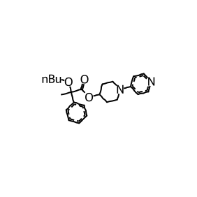 CCCCOC(C)(C(=O)OC1CCN(c2ccncc2)CC1)c1ccccc1